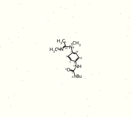 CCCCC(=O)Nc1ccc(N(C)C(C)=NC)cc1